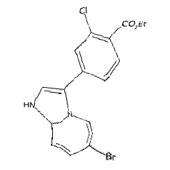 CCOC(=O)c1ccc(C2=CNC3C=CC(Br)=CN23)cc1Cl